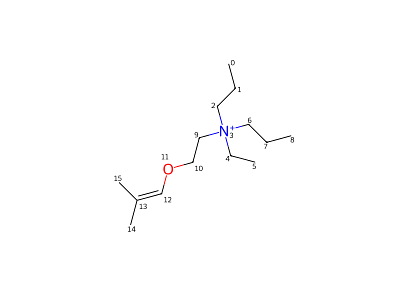 CCC[N+](CC)(CCC)CCOC=C(C)C